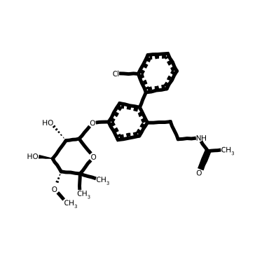 CO[C@@H]1[C@@H](O)[C@H](O)C(Oc2ccc(CCNC(C)=O)c(-c3ccccc3Cl)c2)OC1(C)C